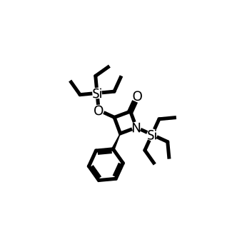 CC[Si](CC)(CC)OC1C(=O)N([Si](CC)(CC)CC)[C@H]1c1ccccc1